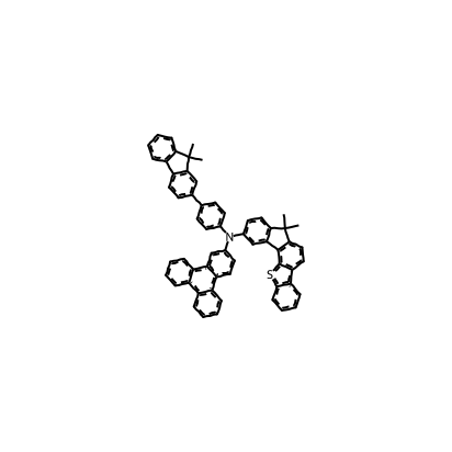 CC1(C)c2ccccc2-c2ccc(-c3ccc(N(c4ccc5c(c4)-c4c(ccc6c4sc4ccccc46)C5(C)C)c4ccc5c6ccccc6c6ccccc6c5c4)cc3)cc21